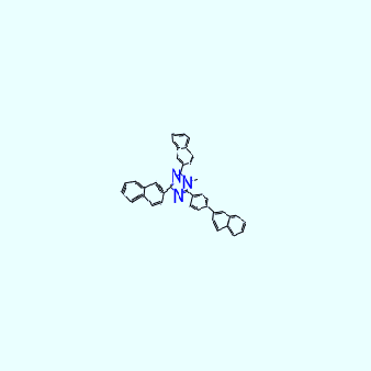 CN1C(c2ccc(-c3ccc4ccccc4c3)cc2)=NC(c2ccc3ccccc3c2)=NC1c1ccc2ccccc2c1